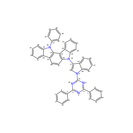 c1ccc(-c2nc(-c3ccccc3)nc(-n3cc(-n4c5ccccc5c5c4ccc4c6ccccc6n(-c6ccccc6)c45)c4ccccc43)n2)cc1